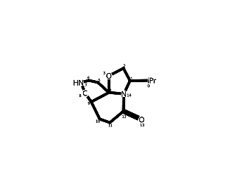 CC(C)C1COC23CCNCC2CCC(=O)N13